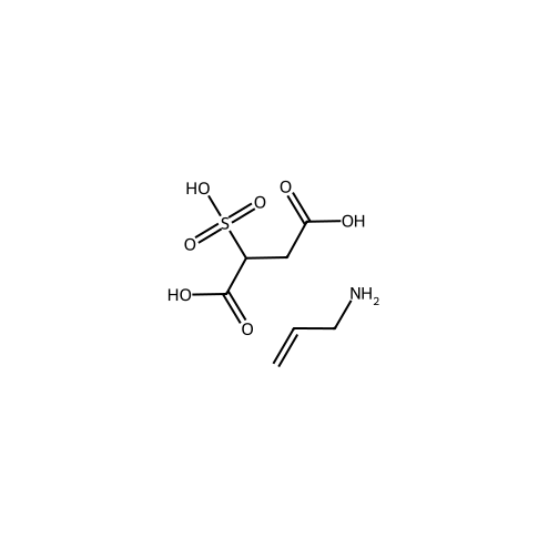 C=CCN.O=C(O)CC(C(=O)O)S(=O)(=O)O